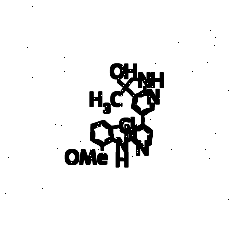 COc1cccc(Cl)c1Nc1nccc(-c2cnc3c(c2)C(C)(CO)CN3)n1